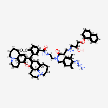 Cc1cc(CN(CCNC(=O)c2ccc(C(=O)O)c(C3=c4cc5c6c(c4Oc4c3cc3c7c4CCCN7CCCC3)CCC[N+]=6CCCC5)c2)C(=O)CCNC[C@H](O)COc2cccc3ccccc23)cc(C)c1N=[N+]=[N-]